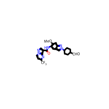 COc1cc2nn(C3CCC(C=O)CC3)cc2cc1NC(=O)c1cnn2ccc(C(F)(F)F)nc12